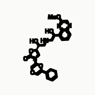 COc1cnc2cccc(C(O)CNCC(O)[C@@H]3CN(C4=COC=C(C5=CC=CCC5)O4)C(=O)O3)c2n1